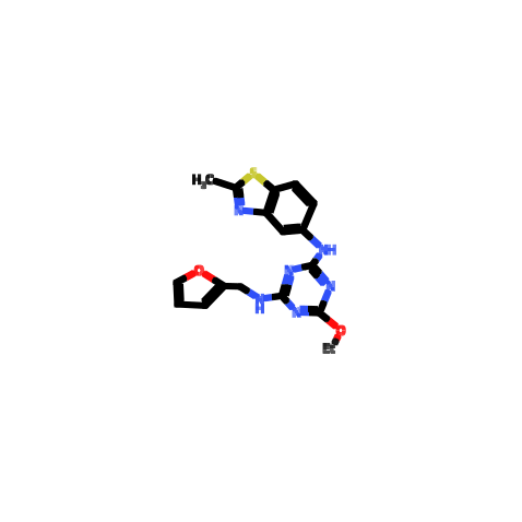 CCOc1nc(NCc2ccco2)nc(Nc2ccc3sc(C)nc3c2)n1